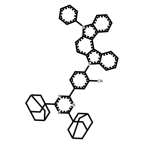 N#Cc1cc(-c2nc(C34CC5CC(CC(C5)C3)C4)nc(C34CC5CC(CC(C5)C3)C4)n2)ccc1-n1c2ccccc2c2c3c4ccccc4n(-c4ccccc4)c3ccc21